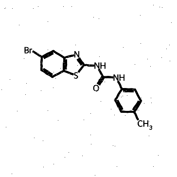 Cc1ccc(NC(=O)Nc2nc3cc(Br)ccc3s2)cc1